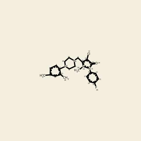 Cc1ccc(N2CCN(Cc3c(Cl)c(=O)n(-c4ccc(F)cc4)n3C)CC2)c(C)c1